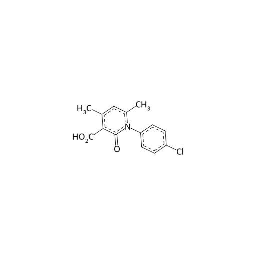 Cc1cc(C)n(-c2ccc(Cl)cc2)c(=O)c1C(=O)O